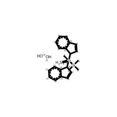 C[Si](C)(C)[Zr]([CH3])(=[SiH2])([CH]1C=Cc2ccccc21)[CH]1C=Cc2ccccc21.Cl.Cl